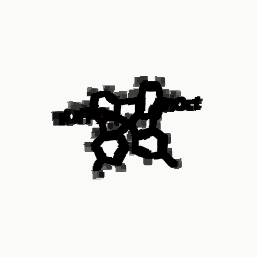 CCCCCCCCOc1cc(C)ccc1C1(c2ccc(C)cc2OCCCCCCCC)c2cc(C)ccc2-c2ccc(C)cc21